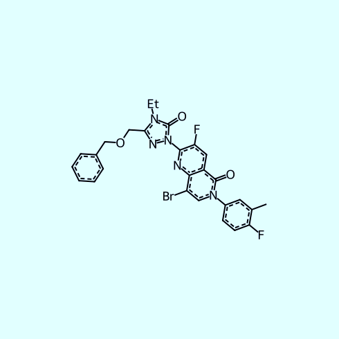 CCn1c(COCc2ccccc2)nn(-c2nc3c(Br)cn(-c4ccc(F)c(C)c4)c(=O)c3cc2F)c1=O